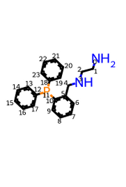 NCCNCc1ccccc1P(c1ccccc1)c1ccccc1